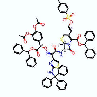 CC(=O)Oc1ccc([C@@H](O/N=C(\C(=O)N[C@H]2C(=O)N3C(C(=O)OC(c4ccccc4)c4ccccc4)=C(/C=C/OS(=O)(=O)c4ccc(C)cc4)CS[C@@H]23)c2csc(NC(c3ccccc3)(c3ccccc3)c3ccccc3)n2)C(=O)OC(c2ccccc2)c2ccccc2)cc1OC(C)=O